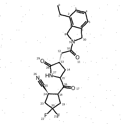 CCc1cccc2c1CN(C(=O)C[C@@H]1CC(C(=O)C3CC(F)(F)C[C@H]3C#N)NC1=O)C2